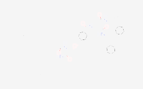 CCCCCCCCCC(=O)N[C@@H](COCc1ccc(C(=O)N2C[C@@H](C(=O)NS[C@H]3C[C@@H]3c3ccccc3)[C@H](C(=O)N[C@H]3C[C@@H]3c3ccccc3)C2)cc1)C(=O)NCCCCCC